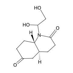 O=C1CC[C@H]2[C@@H](CCC(=O)N2C(O)CO)C1